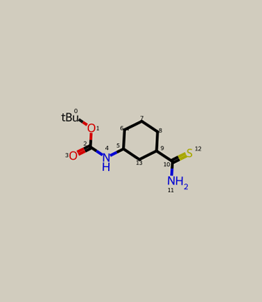 CC(C)(C)OC(=O)NC1[CH]CCC(C(N)=S)C1